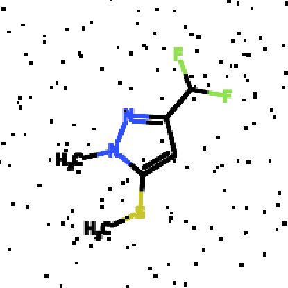 CSc1cc(C(F)F)nn1C